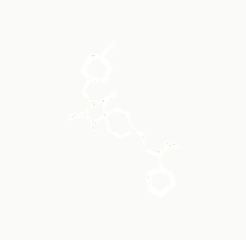 N[C@@H](CCN1CCC2(CC1)NC(=O)N(Cc1ccc(Cl)cc1)C2=O)c1ccccc1